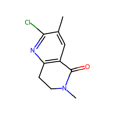 Cc1cc2c(nc1Cl)CCN(C)C2=O